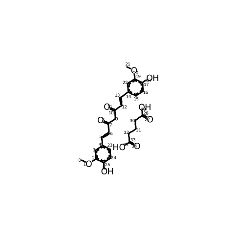 COc1cc(C=CC(=O)CC(=O)C=Cc2ccc(O)c(OC)c2)ccc1O.O=C(O)CCCC(=O)O